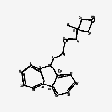 CC1(COCCC2c3ccccc3-c3ccccc32)COC1